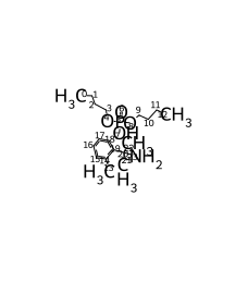 CCCCOP(=O)(O)OCCCC.Cc1ccccc1C(C)(C)N